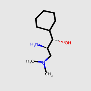 CN(C)C[C@@H](N)[C@@H](O)C1CCCCC1